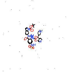 CC(C)(C)OC(=O)n1ccc2ccc(NC(=O)c3ccc(NS(C)(=O)=O)cc3NC(=O)OC(c3ccncc3)C3CCNCC3)cc21